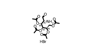 Br.CC(=O)OC[C@@H](OC(C)=O)[C@@H](OC(C)=O)[C@H](OC(C)=O)[C@@H](N)C=O